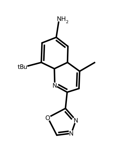 CC1=CC(c2nnco2)=NC2C(C(C)(C)C)=CC(N)=CC12